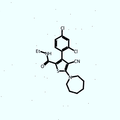 CCNC(=O)c1sc(N2CCCCCC2)c(C#N)c1-c1ccc(Cl)cc1Cl